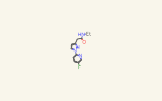 CCNC(=O)Cc1ccn(-c2ccc(F)cn2)n1